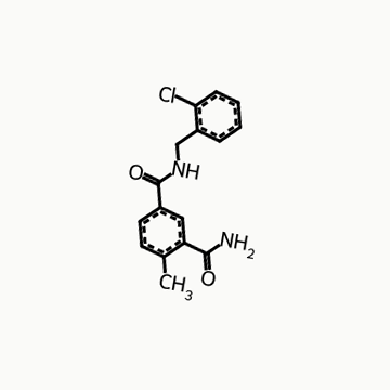 Cc1ccc(C(=O)NCc2ccccc2Cl)cc1C(N)=O